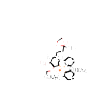 COCOc1c(Br)cc(CCC2(C)OCCO2)cc1P(=O)(c1c(OC)cccc1OC)c1c(OC)cccc1OC